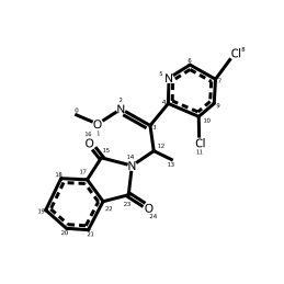 CO/N=C(/c1ncc(Cl)cc1Cl)C(C)N1C(=O)c2ccccc2C1=O